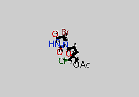 CC(=O)OC[C@]1(CCl)CC[C@H](n2cc(Br)c(=O)[nH]c2=O)O1